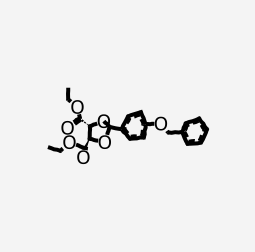 CCOC(=O)[C@@H]1OC(c2ccc(OCc3ccccc3)cc2)O[C@H]1C(=O)OCC